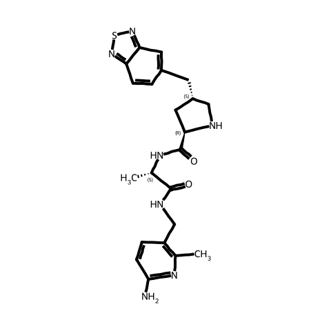 Cc1nc(N)ccc1CNC(=O)[C@H](C)NC(=O)[C@H]1C[C@H](Cc2ccc3nsnc3c2)CN1